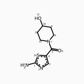 Nc1ncc(C(=O)N2CCC(O)CC2)s1